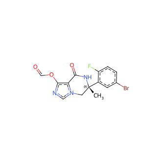 C[C@@]1(c2cc(Br)ccc2F)Cn2cnc(OC=O)c2C(=O)N1